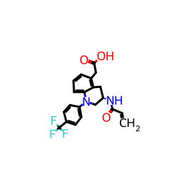 C=CC(=O)N[C@H]1Cc2c(CC(=O)O)cccc2N(c2ccc(C(F)(F)F)cc2)C1